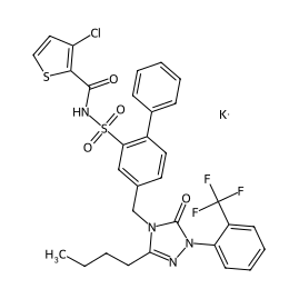 CCCCc1nn(-c2ccccc2C(F)(F)F)c(=O)n1Cc1ccc(-c2ccccc2)c(S(=O)(=O)NC(=O)c2sccc2Cl)c1.[K]